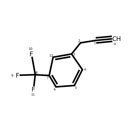 C#C[CH]c1cccc(C(F)(F)F)c1